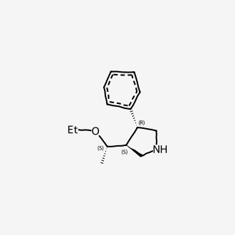 CCO[C@@H](C)[C@@H]1CNC[C@H]1c1ccccc1